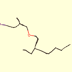 CCCCC(CC)COCC(C)CI